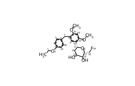 CCOc1ccc(Cc2cc([C@H]3C[C@@H](O)[C@@H](O)[C@@H](CF)O3)c(OC)cc2OC)cc1